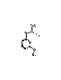 CCOc1cccc(C(=O)C(C)[N+](=O)[O-])c1